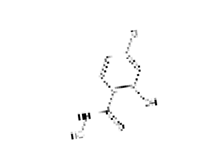 O=C(NO)c1ccc(Cl)cc1O